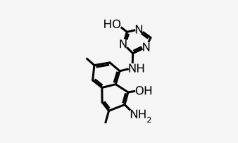 Cc1cc(Nc2ncnc(O)n2)c2c(O)c(N)c(C)cc2c1